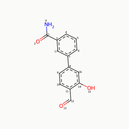 NC(=O)c1cccc(-c2ccc(C=O)c(O)c2)c1